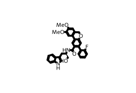 COc1cc2c(cc1OC)-c1cc(C(=O)N[C@@H](CO)Cc3c[nH]c4ccccc34)c(-c3ccccc3F)cc1OC2